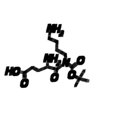 CC(C)(C)OC(=O)N(CCCCN)C(=O)C(N)CCC(=O)O